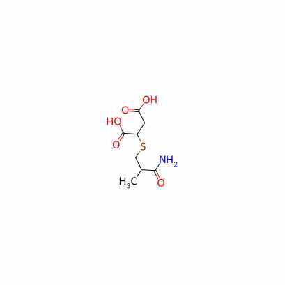 CC(CSC(CC(=O)O)C(=O)O)C(N)=O